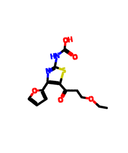 CCOCCC(=O)c1sc(NC(=O)O)nc1-c1ccco1